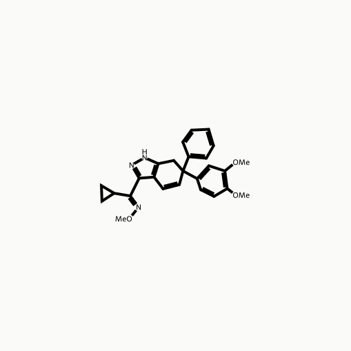 CON=C(c1n[nH]c2c1C=CC(c1ccccc1)(c1ccc(OC)c(OC)c1)C2)C1CC1